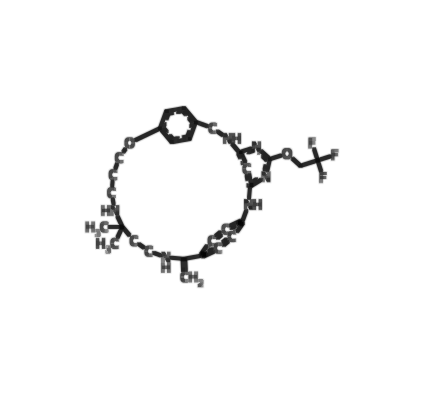 C=C1NCCC(C)(C)NCCCOc2ccc(cc2)CNc2cc(nc(OCC(F)(F)F)n2)Nc2ccc1cc2